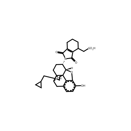 O=C1C2=C(C(=O)N1[C@H]1CCC3(O)C4Cc5ccc(O)c6c5[C@@]3(CCN4CC3CC3)[C@H]1O6)C(CS(=O)(=O)O)CCC2